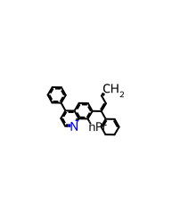 C=C/C=C(/C1=CCCC=C1)c1ccc2c(-c3ccccc3)ccnc2c1CCC